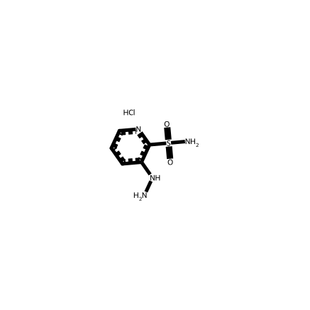 Cl.NNc1cccnc1S(N)(=O)=O